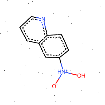 [O-][NH+](O)c1ccc2ncccc2c1